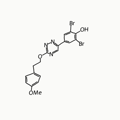 COc1ccc(CCOc2ncc(-c3cc(Br)c(O)c(Br)c3)nn2)cc1